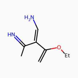 C=C(OCC)/C(=C/N)C(C)=N